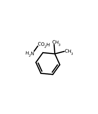 CC1(C)C=CC=CC1.NC(=O)O